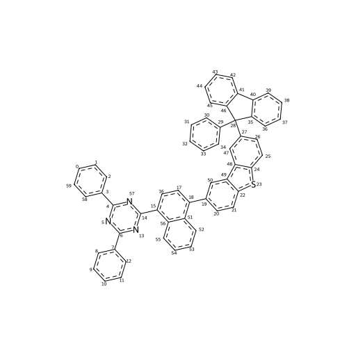 c1ccc(-c2nc(-c3ccccc3)nc(-c3ccc(-c4ccc5sc6ccc(C7(c8ccccc8)c8ccccc8-c8ccccc87)cc6c5c4)c4ccccc34)n2)cc1